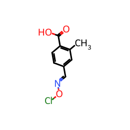 Cc1cc(C=NOCl)ccc1C(=O)O